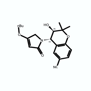 CCCCOC1=CC(=O)N([C@H]2c3cc(C#N)ccc3OC(C)(C)[C@@H]2O)C1